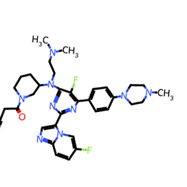 CN(C)CCN(c1nc(-c2cnc3ccc(F)cn23)nc(-c2ccc(N3CCN(C)CC3)cc2)c1F)C1CCCN(C(=O)CC#N)C1